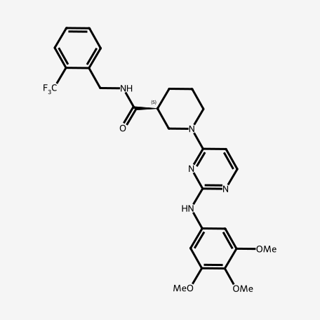 COc1cc(Nc2nccc(N3CCC[C@H](C(=O)NCc4ccccc4C(F)(F)F)C3)n2)cc(OC)c1OC